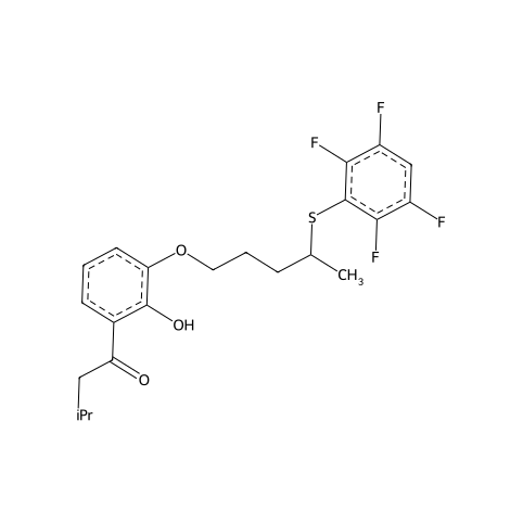 CC(C)CC(=O)c1cccc(OCCCC(C)Sc2c(F)c(F)cc(F)c2F)c1O